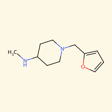 CNC1CCN(Cc2ccco2)CC1